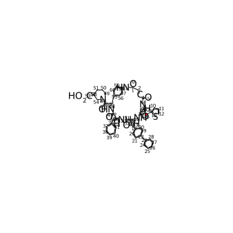 O=C1CCC(=O)N[C@H](Cc2cccs2)C(=O)N[C@@H](Cc2ccc(-c3ccccc3)cc2)C(=O)N[C@H](Cc2ccccc2)C(=O)NC(C(=O)N2CCC[C@@H](C(=O)O)C2)c2ccc(cc2)N1